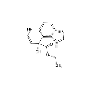 CCOC(=O)C1(O)C=CNc2ccc3nc[nH]c3c21